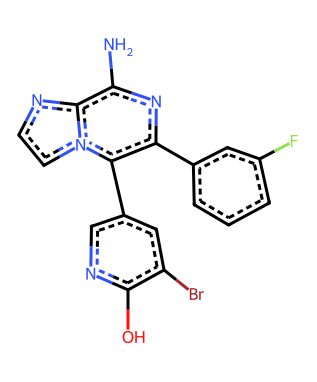 Nc1nc(-c2cccc(F)c2)c(-c2cnc(O)c(Br)c2)n2ccnc12